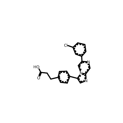 O=C(O)CCc1ccc(-c2cnc3cnc(-c4cccc(Cl)c4)cn23)cc1